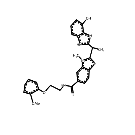 COc1ccccc1OCCNC(=O)c1ccc2nc(C(C)c3nc4c(O)cccc4[nH]3)n(C)c2c1